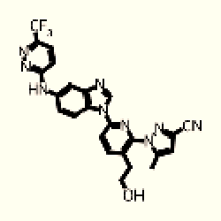 Cc1cc(C#N)nn1-c1nc(-n2cnc3cc(Nc4ccc(C(F)(F)F)nn4)ccc32)ccc1CCO